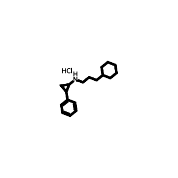 Cl.c1ccc(C2CC2NCCCC2CCCCC2)cc1